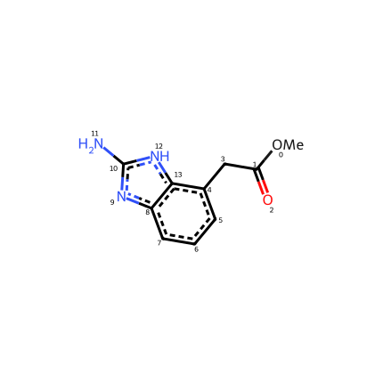 COC(=O)Cc1cccc2nc(N)[nH]c12